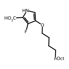 CCCCCCCCCCCCOc1c[nH]c(C(=O)O)c1F